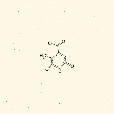 Cn1c(C(=O)Cl)cc(=O)[nH]c1=O